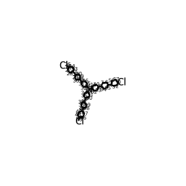 Clc1ccc(-c2ccc(-c3ccc(N(c4ccc(-c5ccc(-c6ccc(Cl)cc6)cc5)cc4)c4ccc(-c5ccc(-c6ccc(Cl)cc6)cc5)cc4)cc3)cc2)cc1